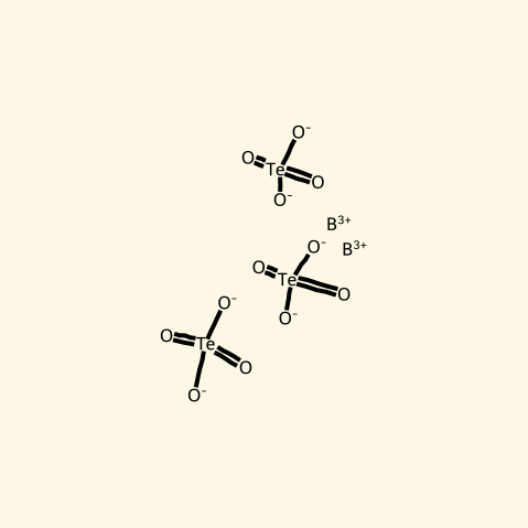 O=[Te](=O)([O-])[O-].O=[Te](=O)([O-])[O-].O=[Te](=O)([O-])[O-].[B+3].[B+3]